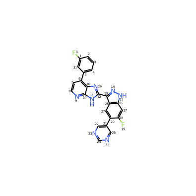 Fc1cccc(-c2ccnc3[nH]c(-c4n[nH]c5cc(F)c(-c6cncnc6)cc45)nc23)c1